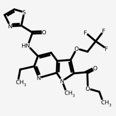 CCOC(=O)c1c(OCC(F)(F)F)c2cc(NC(=O)c3nccs3)c(CC)nc2n1C